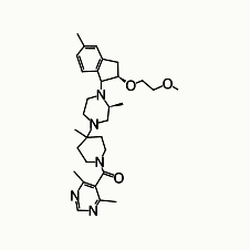 COCCO[C@@H]1Cc2cc(C)ccc2C1N1CCN(C2(C)CCN(C(=O)c3c(C)ncnc3C)CC2)C[C@@H]1C